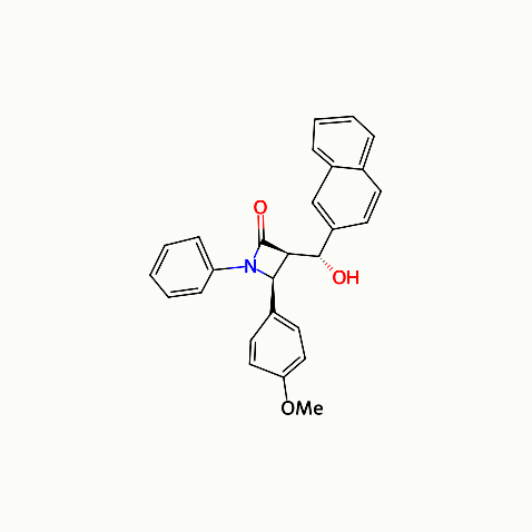 COc1ccc([C@@H]2[C@H]([C@@H](O)c3ccc4ccccc4c3)C(=O)N2c2ccccc2)cc1